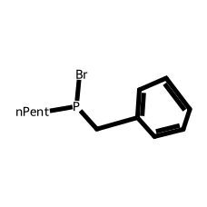 CCCCCP(Br)Cc1ccccc1